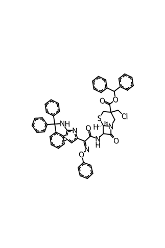 O=C(NC1C(=O)N2CC(CCl)(C(=O)OC(c3ccccc3)c3ccccc3)CS[C@H]12)C(=NOc1ccccc1)c1csc(NC(c2ccccc2)(c2ccccc2)c2ccccc2)n1